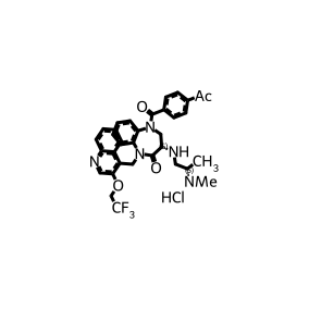 CN[C@@H](C)CN[C@H]1CN(C(=O)c2ccc(C(C)=O)cc2)c2ccccc2N(Cc2c(OCC(F)(F)F)cnc3ccccc23)C1=O.Cl